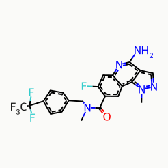 CN(Cc1ccc(C(F)(F)C(F)(F)F)cc1)C(=O)c1cc2c(cc1F)nc(N)c1cnn(C)c12